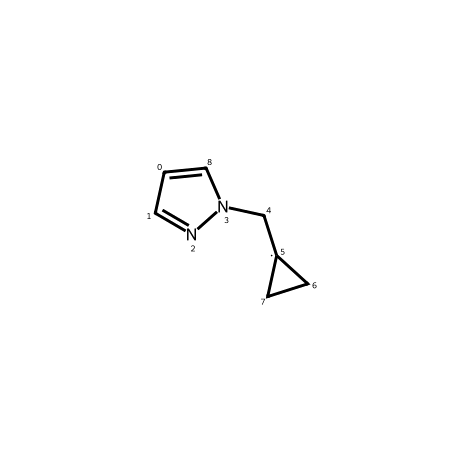 c1cnn(C[C]2CC2)c1